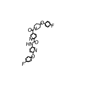 O=C(Nc1ccc(Oc2ccc(F)cc2)nc1)c1ccc(C(=O)N2CCC(Oc3ccc(F)cc3)CC2)cn1